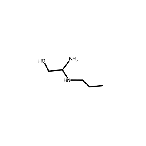 CCCNC(N)CO